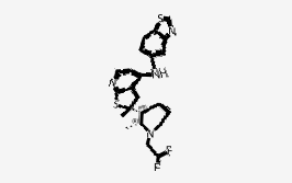 C[C@@H]1[C@H](C2(C)Cc3c(Nc4ccc5scnc5c4)ccnc3S2)CCCN1CC(F)F